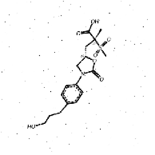 C[C@@](C[C@H]1CN(c2ccc(CCCO)cc2)C(=O)O1)(C(=O)O)S(C)(=O)=O